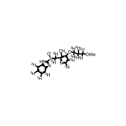 [2H]c1nc(C([2H])([2H])[S+]([O-])c2nc3c([2H])c([2H])c([2H])c([2H])c3[nH]2)c(C)c(OC([2H])([2H])C([2H])([2H])C([2H])([2H])OC)c1[2H]